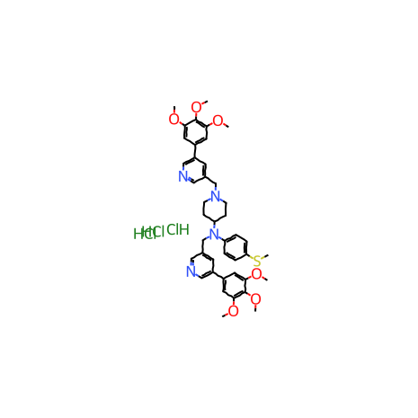 COc1cc(-c2cncc(CN3CCC(N(Cc4cncc(-c5cc(OC)c(OC)c(OC)c5)c4)c4ccc(SC)cc4)CC3)c2)cc(OC)c1OC.Cl.Cl.Cl